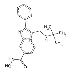 CC(C)(C)NCc1c(-c2ccccc2)nc2cc(C(=O)NO)ccn12